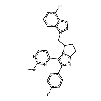 CNc1nccc(-c2c(-c3ccc(F)cc3)nc3n2C(Cn2ccc4c(Cl)cccc42)CC3)n1